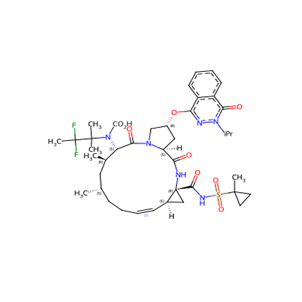 CC(C)n1nc(O[C@@H]2C[C@H]3C(=O)N[C@]4(C(=O)NS(=O)(=O)C5(C)CC5)C[C@H]4/C=C\CC[C@H](C)C[C@@H](C)[C@H](N(C(=O)O)C(C)(C)C(C)(F)F)C(=O)N3C2)c2ccccc2c1=O